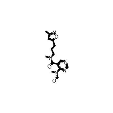 Cc1cc(CCCN(C)C(=O)c2cncnc2N(C)C=O)on1